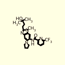 Cn1c(CCC(C)(C)O)nc2cc(N3CCCC3)c(NC(=O)c3cccc(C(F)(F)F)n3)cc21